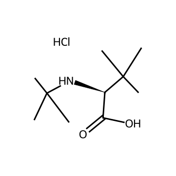 CC(C)(C)N[C@H](C(=O)O)C(C)(C)C.Cl